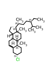 CC[C@H](CC[C@@H](C)[C@H]1CC[C@H]2[C@@H]3CC=C4C[C@@H](Cl)CC[C@]4(C)[C@H]3CC[C@]12C)C(C)C